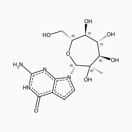 C[C@@]1(O)[C@H](O)[C@@H](O)[C@H](O)[C@@H](CO)O[C@H]1n1ccc2c(=O)[nH]c(N)nc21